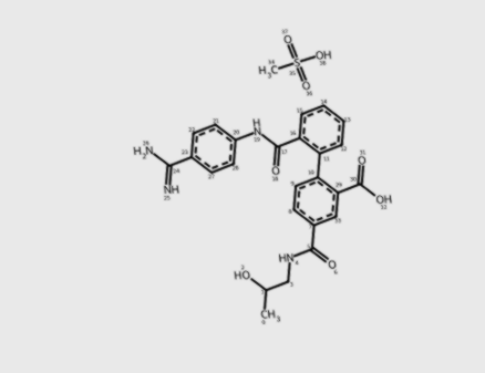 CC(O)CNC(=O)c1ccc(-c2ccccc2C(=O)Nc2ccc(C(=N)N)cc2)c(C(=O)O)c1.CS(=O)(=O)O